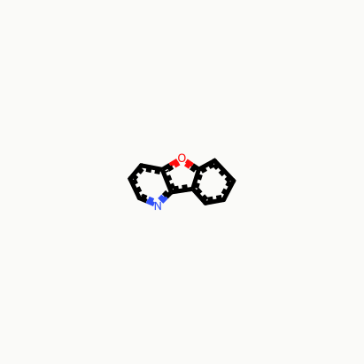 c1ccc2c(c1)oc1cccnc12